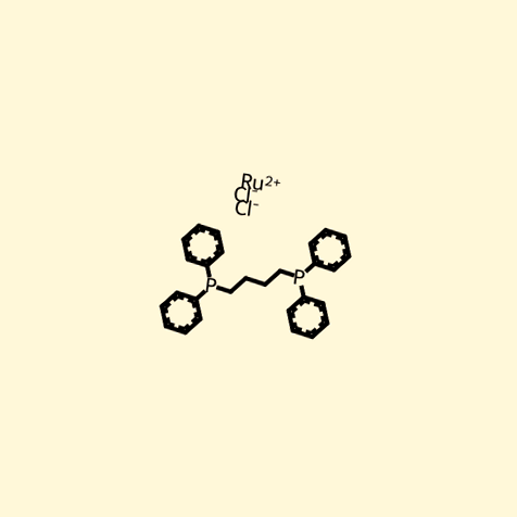 [Cl-].[Cl-].[Ru+2].c1ccc(P(CCCCP(c2ccccc2)c2ccccc2)c2ccccc2)cc1